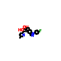 Cc1ccc(C(O)C[C@]2(CO)CCC3=Cc4c(cnn4-c4ccc(F)cc4)C[C@@]32C)nc1